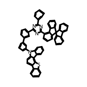 c1ccc(-c2nc(-c3cccc(-c4cccc(-n5c6ccccc6c6c7sc8ccccc8c7ccc65)c4)c3)nc(-c3cccc4c3-c3ccccc3C43c4ccccc4-c4ccccc43)n2)cc1